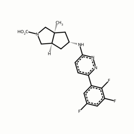 C[C@]12C[C@H](Nc3ccc(-c4cc(F)cc(F)c4F)nn3)C[C@H]1CN(C(=O)O)C2